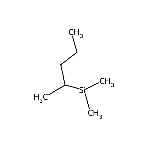 CCCC(C)[Si](C)C